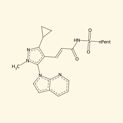 CCCCCS(=O)(=O)NC(=O)/C=C/c1c(C2CC2)nn(C)c1-n1ccc2cccnc21